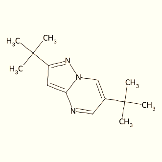 CC(C)(C)c1cnc2cc(C(C)(C)C)nn2c1